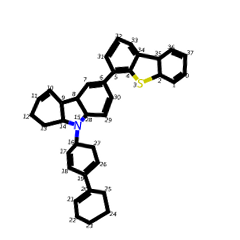 C1=CC2Sc3c(C4=CC5C6C=CCCC6N(C6C=CC(C7=CCCCC7)=CC6)C5C=C4)cccc3C2C=C1